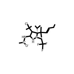 CC/C=C/C(C)(C)[C@]1(C(C)C)C(C(C)(C)Cl)C(N[S+](C)[O-])NN1CC(F)(F)F